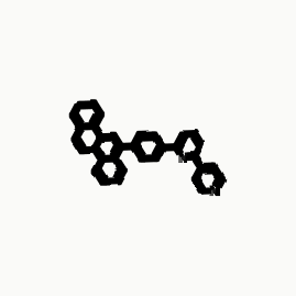 c1cc(-c2ccncc2)nc(-c2ccc(-c3cc4c5ccccc5ccc4c4ccccc34)cc2)c1